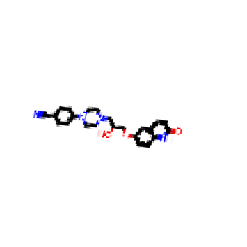 N#Cc1ccc(N2CCN(C[C@H](O)COc3ccc4[nH]c(=O)ccc4c3)CC2)cc1